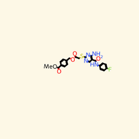 COC(=O)c1ccc(COC(=O)CSc2ncc(C(=O)Nc3ccc(F)cc3)c(N)n2)cc1